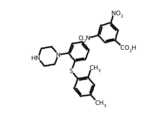 Cc1ccc(Sc2ccccc2N2CCNCC2)c(C)c1.O=C(O)c1cc([N+](=O)[O-])cc([N+](=O)[O-])c1